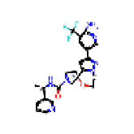 C[C@@H](NC(=O)N1CC[C@]2(C1)OCCn1nc(-c3cnc(N)c(C(F)(F)F)c3)cc12)c1cccnc1